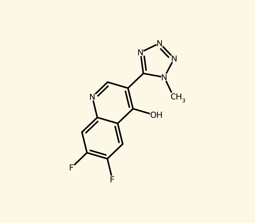 Cn1nnnc1-c1cnc2cc(F)c(F)cc2c1O